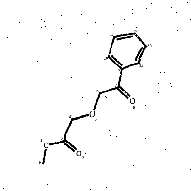 COC(=O)COCC(=O)c1ccccc1